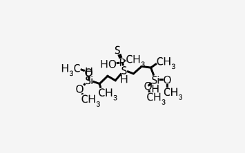 CO[SiH](OC)C(C)CC[SH](CCC(C)[SiH](OC)OC)P(C)(O)=S